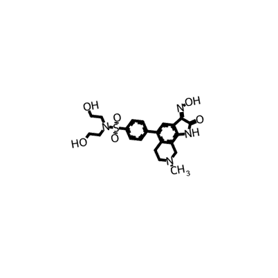 CN1CCc2c(-c3ccc(S(=O)(=O)N(CCO)CCO)cc3)cc3c(c2C1)NC(=O)/C3=N\O